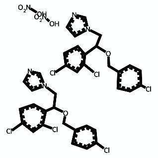 Clc1ccc(COC(Cn2ccnc2)c2ccc(Cl)cc2Cl)cc1.Clc1ccc(COC(Cn2ccnc2)c2ccc(Cl)cc2Cl)cc1.O=[N+]([O-])O.O=[N+]([O-])O